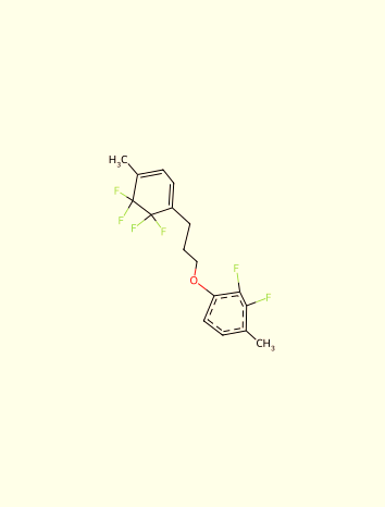 CC1=CC=C(CCCOc2ccc(C)c(F)c2F)C(F)(F)C1(F)F